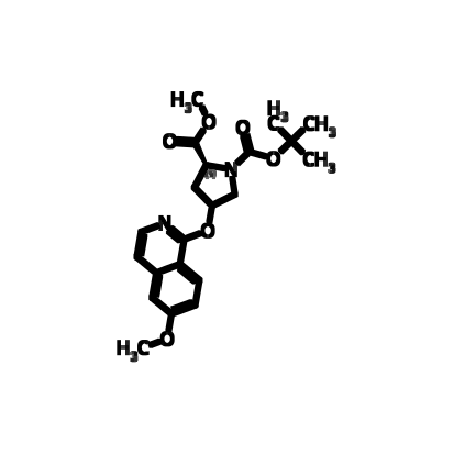 COC(=O)[C@@H]1CC(Oc2nccc3cc(OC)ccc23)CN1C(=O)OC(C)(C)C